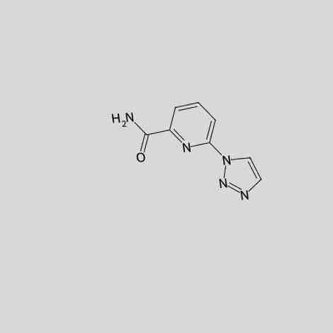 NC(=O)c1cccc(-n2ccnn2)n1